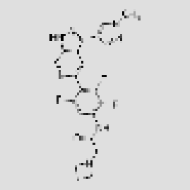 Cn1cc(-c2n[nH]c3cnc(-c4c(F)cc(NC(=O)CN5CCC5)c(F)c4F)cc23)cn1